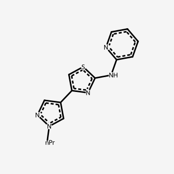 CCCn1cc(-c2csc(Nc3ccccn3)n2)cn1